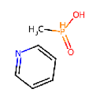 C[PH](=O)O.c1ccncc1